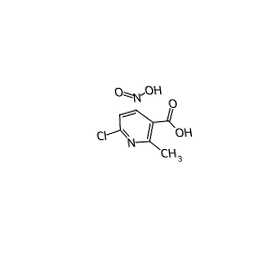 Cc1nc(Cl)ccc1C(=O)O.O=NO